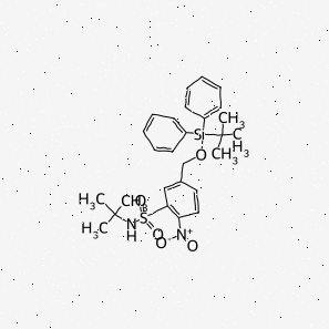 CC(C)(C)NS(=O)(=O)c1cc(CO[Si](c2ccccc2)(c2ccccc2)C(C)(C)C)ccc1[N+](=O)[O-]